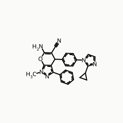 Cn1nc(-c2ccccc2)c2c1OC(N)=C(C#N)C2c1ccc(-n2ccnc2C2CC2)cc1